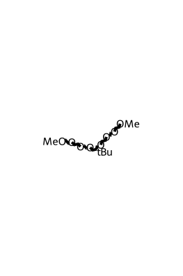 COCCOCCOCCOCC(COCCOCCOCCOC)C(C)(C)C